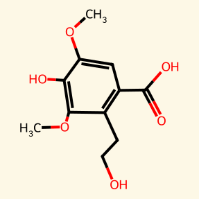 COc1cc(C(=O)O)c(CCO)c(OC)c1O